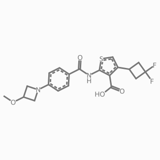 COC1CN(c2ccc(C(=O)Nc3scc(C4CC(F)(F)C4)c3C(=O)O)cc2)C1